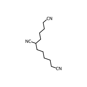 N#CCCCCCC(C#N)CCCCC#N